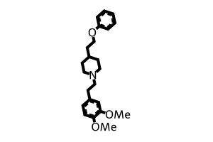 COc1ccc(CCN2CCC(CCOc3ccccc3)CC2)cc1OC